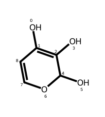 OC1=C(O)C(O)OC=C1